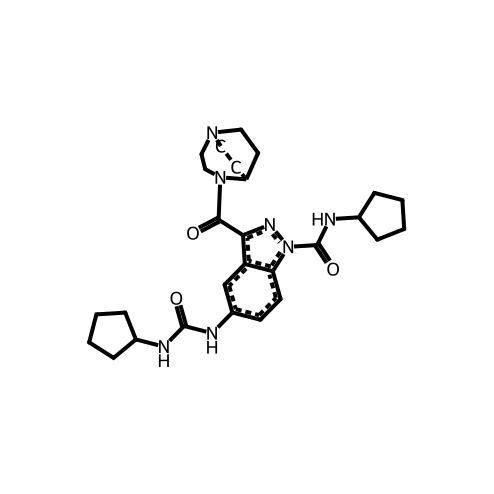 O=C(Nc1ccc2c(c1)c(C(=O)N1CCN3CCC1CC3)nn2C(=O)NC1CCCC1)NC1CCCC1